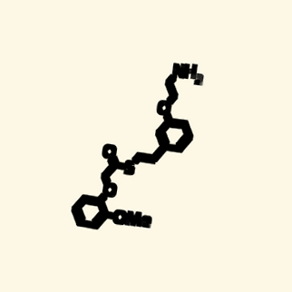 COc1ccccc1OCC(=O)SC=Cc1cccc(OCCN)c1